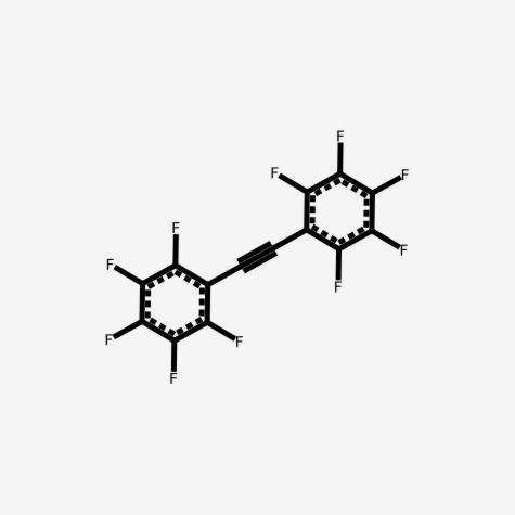 Fc1c(F)c(F)c(C#Cc2c(F)c(F)c(F)c(F)c2F)c(F)c1F